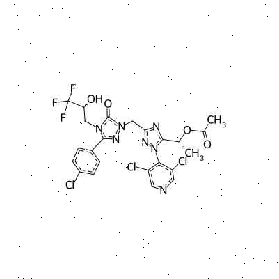 CC(=O)O[C@H](C)c1nc(Cn2nc(-c3ccc(Cl)cc3)n(C[C@H](O)C(F)(F)F)c2=O)nn1-c1c(Cl)cncc1Cl